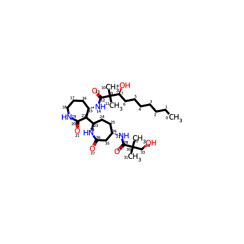 CCCCCCC[C@H](O)C(C)(C)C(=O)N[C@H]1CCCNC(=O)C1C1CC[C@H](NC(=O)C(C)(C)CO)CC(=O)N1